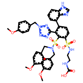 COc1ccc(CN(Cc2ccc(OC)cc2)S(=O)(=O)c2c(S(=O)(=O)NCCNC(=O)O)ccc(-c3cccc4[nH]cnc34)c2-c2nnn(Cc3ccc(OC)cc3)n2)cc1